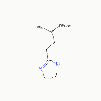 CCCCCC(CCCC)CCC1=NCCN1